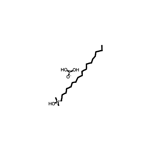 CCCCCCCCCCCCCCCCCC[N+](C)(C)O.[O-]P(O)O